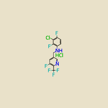 Cl.Fc1cc(CNc2ccc(F)c(Cl)c2F)cnc1C(F)(F)F